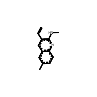 C=Cc1cc2cc(C)ccc2nc1NC